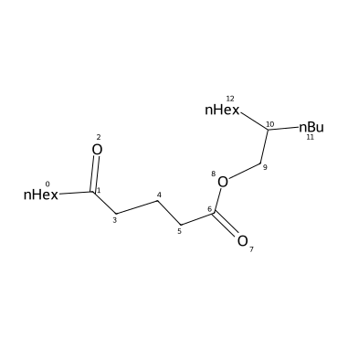 CCCCCCC(=O)CCCC(=O)OCC(CCCC)CCCCCC